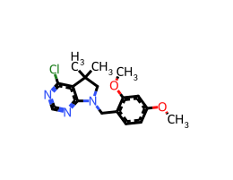 COc1ccc(CN2CC(C)(C)c3c(Cl)ncnc32)c(OC)c1